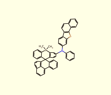 C[Si]1(C)c2ccccc2C2(c3ccccc3-c3cccc4cccc2c34)c2ccc(N(c3ccccc3)c3ccc4c(c3)sc3c5ccccc5ccc43)cc21